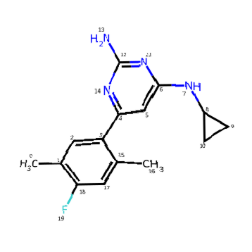 Cc1cc(-c2cc(NC3CC3)nc(N)n2)c(C)cc1F